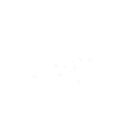 CN(c1ncccc1CNc1nc(Nc2ccc3[nH]c(=O)oc3c2)ncc1C#N)S(C)(=O)=O